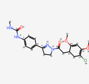 CNC(=O)Nc1ccc(C2=NN(C(=O)CC3CC(Cl)=C(OC)C=C3OC)CC2)cc1